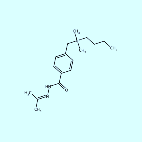 CCCC[N+](C)(C)Cc1ccc(C(=O)NN=C(C)C)cc1